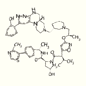 Cc1ncsc1-c1ccc([C@H](C)NC(=O)[C@@H]2C[C@@H](O)CN2C(=O)[C@@H](c2cc(O[C@H](C)CN3CCC[C@@H](CN4CCN5c6cc(-c7ccccc7O)nnc6NC[C@@H]5C4)C3)no2)C(C)C)cc1